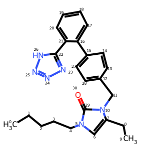 CCCCCn1cc(CC)n(Cc2ccc(-c3ccccc3-c3nnn[nH]3)cc2)c1=O